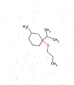 CCCOC1(C(C)C)CCCC(C)C1